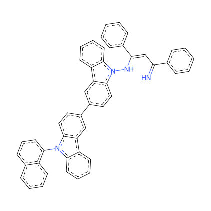 N=C(/C=C(\Nn1c2ccccc2c2cc(-c3ccc4c(c3)c3ccccc3n4-c3cccc4ccccc34)ccc21)c1ccccc1)c1ccccc1